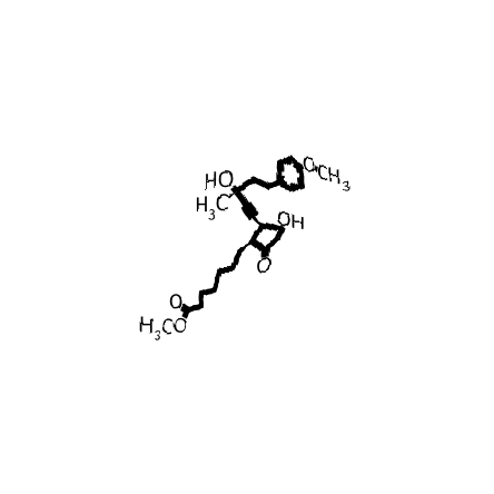 COC(=O)CCCCCC[C@@H]1C(=O)C[C@H](O)[C@@H]1C#C[C@@](C)(O)CCc1ccc(OC)cc1